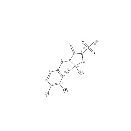 [C-]#[N+]c1ccc(OC2C(=O)N(S(=O)(=O)CCCC)CC2(C)C)cc1C(F)(F)F